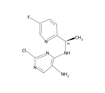 C[C@@H](Nc1nc(Cl)ncc1N)c1ccc(F)cn1